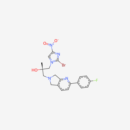 C[C@](O)(CN1Cc2ccc(-c3ccc(F)cc3)nc2C1)Cn1cc([N+](=O)[O-])nc1Br